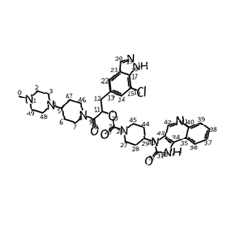 CN1CCN(C2CCN(C(=O)C(Cc3cc(Cl)c4[nH]ncc4c3)OC(=O)N3CCC(n4c(=O)[nH]c5c6ccccc6ncc54)CC3)CC2)CC1